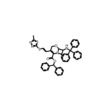 Cc1nnc(SC=CC2=C(C(=O)OC(c3ccccc3)c3ccccc3)N3C(=O)C(NC(c4ccccc4)(c4ccccc4)c4ccccc4)C3OC2)s1